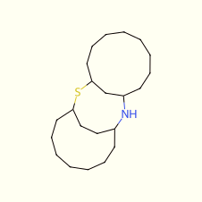 C1CCCCC2CC(CCC1)NC1CCCCCCCC(CC1)S2